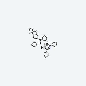 N=C(/N=C(\NCc1cccc(Nc2cc3sc4ccccc4c3cc2-c2ccccc2)c1)c1ccccc1)c1ccccc1